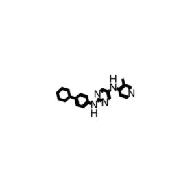 Cc1cnccc1Nc1cnc(Nc2ccc(C3CCCCC3)cc2)nc1